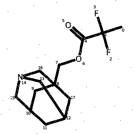 CC(F)(F)C(=O)OCC12CC3CC(CN(C3)C1)C2